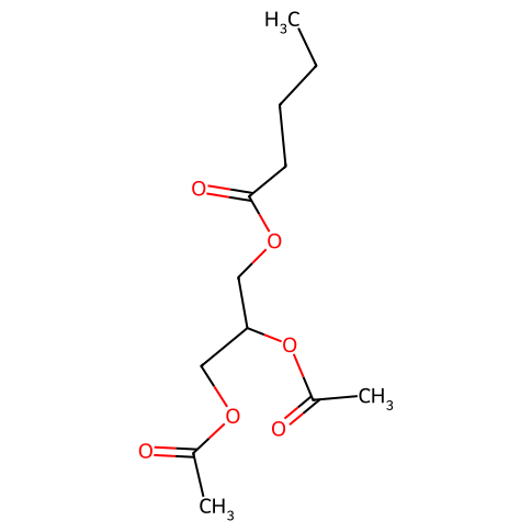 CCCCC(=O)OCC(COC(C)=O)OC(C)=O